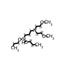 CCCO[SiH](CCCN(CCOC)CCOC)OCCC